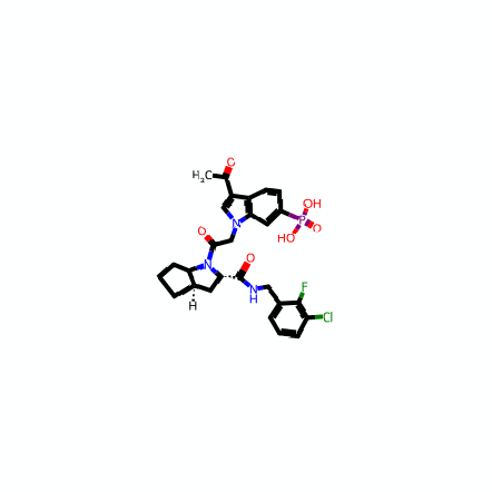 CC(=O)c1cn(CC(=O)N2C3CCC[C@@H]3C[C@H]2C(=O)NCc2cccc(Cl)c2F)c2cc(P(=O)(O)O)ccc12